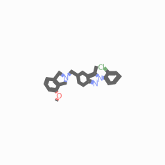 COc1cccc2c1CN(CC1CCc3nn(-c4ccccc4Cl)c(C)c3C1)C2